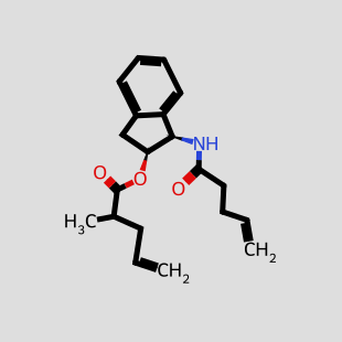 C=CCCC(=O)N[C@@H]1c2ccccc2C[C@@H]1OC(=O)C(C)CC=C